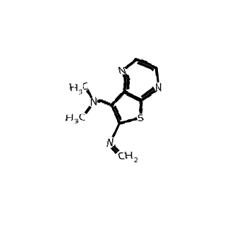 C=Nc1sc2nccnc2c1N(C)C